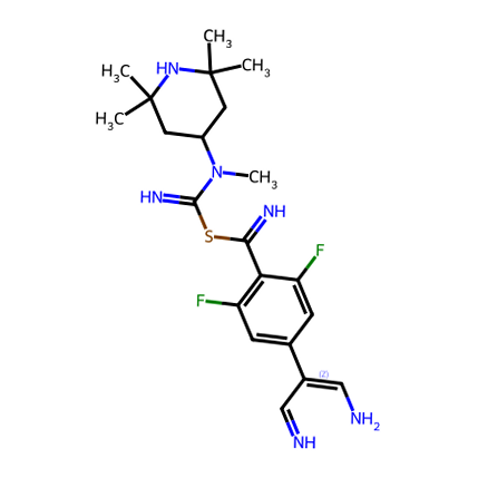 CN(C(=N)SC(=N)c1c(F)cc(/C(C=N)=C/N)cc1F)C1CC(C)(C)NC(C)(C)C1